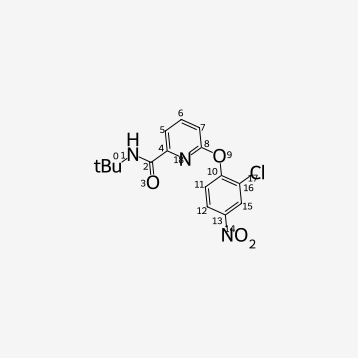 CC(C)(C)NC(=O)c1cccc(Oc2ccc([N+](=O)[O-])cc2Cl)n1